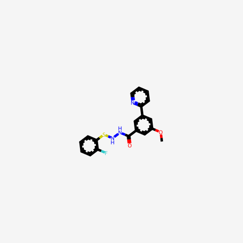 COc1cc(C(=O)NNSc2ccccc2F)cc(-c2ccccn2)c1